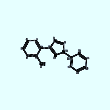 Oc1ccccc1-c1ncn(-c2ccccn2)n1